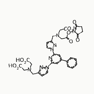 O=C(O)CN(CC(=O)O)Cc1ccn(-c2cc(-c3ccccc3)cc(-n3ccc(CN(CC(=O)O)CC(=O)ON4C(=O)CCC4=O)n3)n2)n1